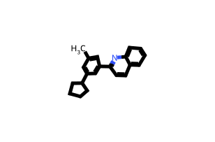 Cc1cc(-c2ccc3ccccc3n2)cc(C2CCCC2)c1